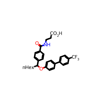 CCCCCCC(Oc1ccc(-c2ccc(C(F)(F)F)cc2)cc1)c1ccc(C(=O)NCCC(=O)O)cc1